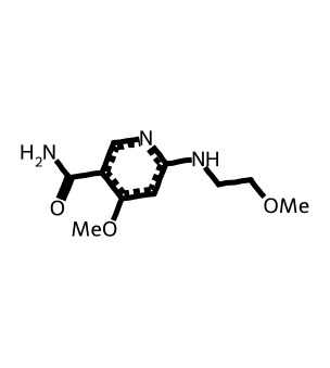 COCCNc1cc(OC)c(C(N)=O)cn1